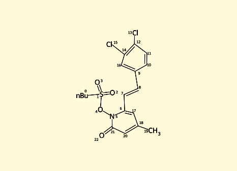 CCCCS(=O)(=O)On1c(C=Cc2ccc(Cl)c(Cl)c2)cc(C)cc1=O